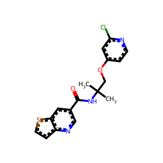 CC(C)(COc1ccnc(Cl)c1)NC(=O)c1cnc2ccsc2c1